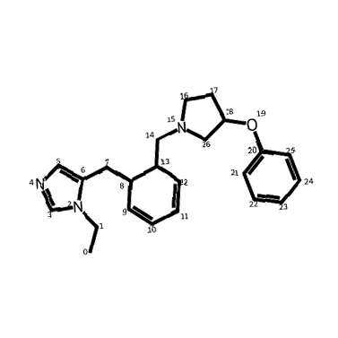 CCn1cncc1CC1C=CC=CC1CN1CCC(Oc2ccccc2)C1